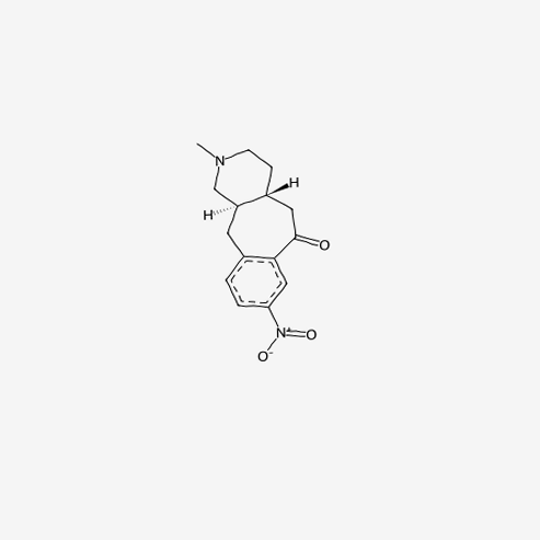 CN1CC[C@@H]2CC(=O)c3cc([N+](=O)[O-])ccc3C[C@H]2C1